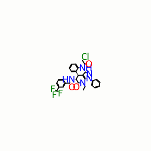 CCN1C(=O)[C@H](NC(=O)c2cccc(C(F)(F)F)c2)[C@@H](c2ccccc2NC(=O)CCl)c2cnn(-c3ccccc3)c21